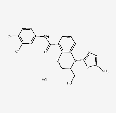 Cc1cnc(N2c3cccc(C(=O)Nc4ccc(Cl)c(Cl)c4)c3OCC2CO)s1.Cl